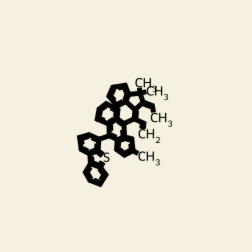 C=C/C(=C1\C(=C/C)C(C)(C)c2ccccc21)c1c2ccccc2c(-c2cccc3c2sc2ccccc23)c2ccc(C)cc12